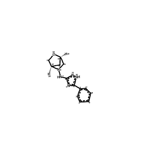 c1ccc(-c2nc(NN3C[C@H]4C[C@@H]3CO4)n[nH]2)cc1